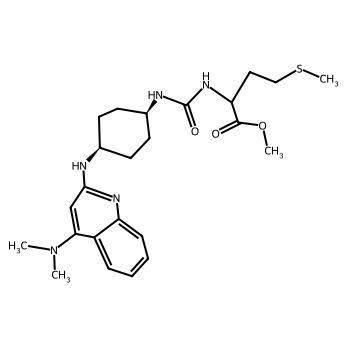 COC(=O)C(CCSC)NC(=O)N[C@H]1CC[C@@H](Nc2cc(N(C)C)c3ccccc3n2)CC1